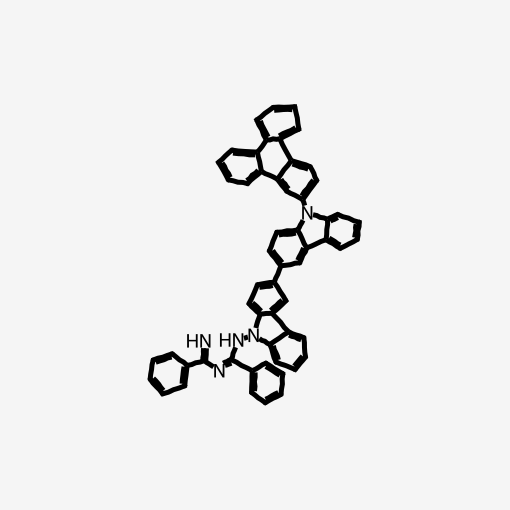 N=C(/N=C(\Nn1c2ccccc2c2cc(-c3ccc4c(c3)c3ccccc3n4-c3ccc4c5ccccc5c5ccccc5c4c3)ccc21)c1ccccc1)c1ccccc1